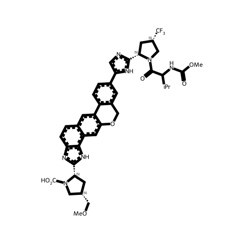 COC[C@H]1C[C@@H](c2nc3ccc4cc5c(cc4c3[nH]2)OCc2cc(-c3cnc([C@@H]4C[C@H](C(F)(F)F)CN4C(=O)C(NC(=O)OC)C(C)C)[nH]3)ccc2-5)N(C(=O)O)C1